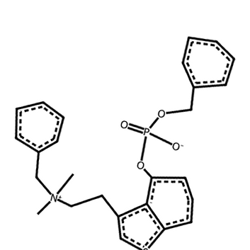 C[N+](C)(CCc1csc2cccc(OP(=O)([O-])OCc3ccccc3)c12)Cc1ccccc1